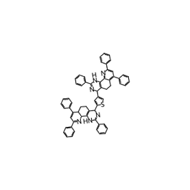 C1=C(c2ccccc2)C2CCC3=C(NC(c4ccccc4)=NC3c3cc(C4N=C(c5ccccc5)NC5=C4CCc4c(-c6ccccc6)cc(-c6ccccc6)nc45)cs3)C2N=C1c1ccccc1